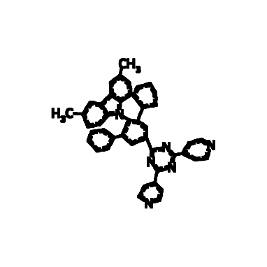 Cc1ccc2c(c1)c1cc(C)ccc1n2-c1c(-c2ccccc2)cc(-c2nc(-c3ccncc3)nc(-c3ccncc3)n2)cc1-c1ccccc1